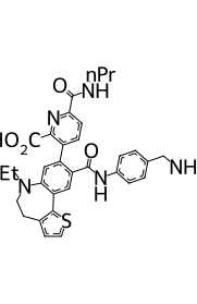 CCCNC(=O)c1ccc(-c2cc3c(cc2C(=O)Nc2ccc(CN)cc2)-c2sccc2CCN3CC)c(C(=O)O)n1